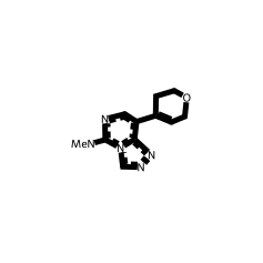 CNc1ncc(C2=CCOCC2)c2nncn12